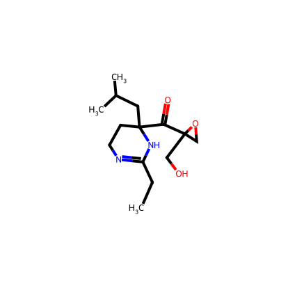 CCC1=NCCC(CC(C)C)(C(=O)C2(CO)CO2)N1